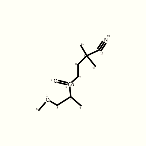 COC[CH](C)[Co](=[O])[CH2]CC(C)(C)C#N